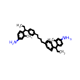 CCC(c1ccc(CCCCc2ccc(C(CC)c3ccc(N)cc3C)cc2)cc1)c1ccc(N)cc1C